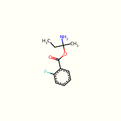 CCC(C)(N)OC(=O)c1ccccc1F